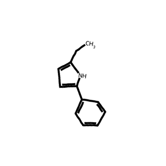 CCc1ccc(-c2ccccc2)[nH]1